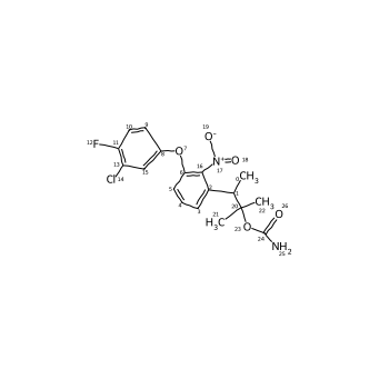 CC(c1cccc(Oc2ccc(F)c(Cl)c2)c1[N+](=O)[O-])C(C)(C)OC(N)=O